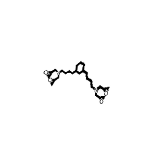 C(CCN(CC1CO1)CC1CO1)CC1CCCC(CCCCN(CC2CO2)CC2CO2)C1